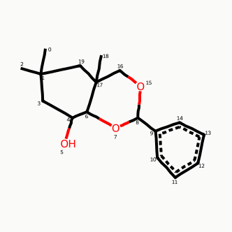 CC1(C)CC(O)C2OC(c3ccccc3)OCC2(C)C1